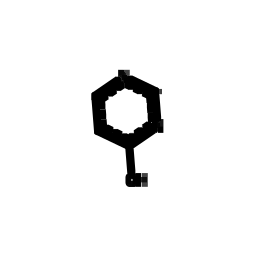 Oc1ccn[c]n1